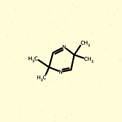 CC1(C)C=NC(C)(C)C=N1